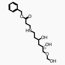 O=C(CCNCCC(O)C[C@H](O)COCO)OCc1ccccc1